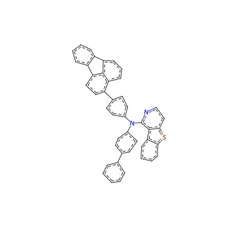 c1ccc(-c2ccc(N(c3ccc(-c4ccc5c6c(cccc46)-c4ccccc4-5)cc3)c3nccc4sc5ccccc5c34)cc2)cc1